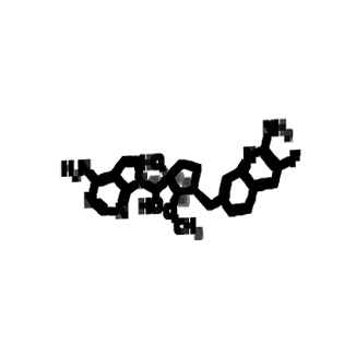 CO[C@@H]1[C@H](Cc2ccc3cc(F)c(N)nc3c2)CC[C@]1(O)[C@@H](O)n1ccc2c(N)ncnc21